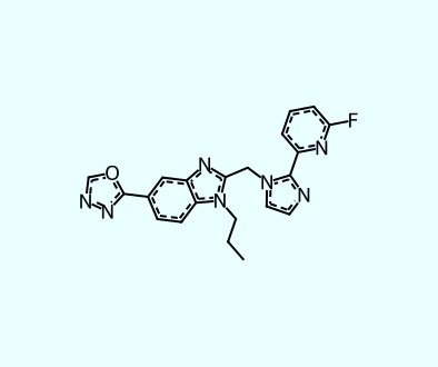 CCCn1c(Cn2ccnc2-c2cccc(F)n2)nc2cc(-c3nnco3)ccc21